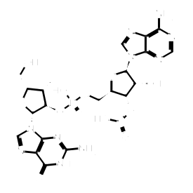 Nc1nc2c(ncn2[C@@H]2O[C@H](CO)[C@H](F)[C@H]2OP(=O)(O)OC[C@H]2O[C@@H](n3cnc4c(N)ncnc43)[C@H](O)[C@@H]2O[PH](=O)O)c(=O)[nH]1